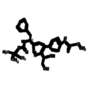 COC(=O)Nc1ccc(-c2cc([C@H](Cc3ccccc3)NC(=O)OC(C)(C)C)nnc2C(O)CO)cc1